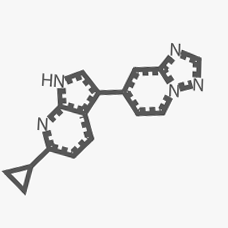 c1nc2cc(-c3c[nH]c4nc(C5CC5)ccc34)ccn2n1